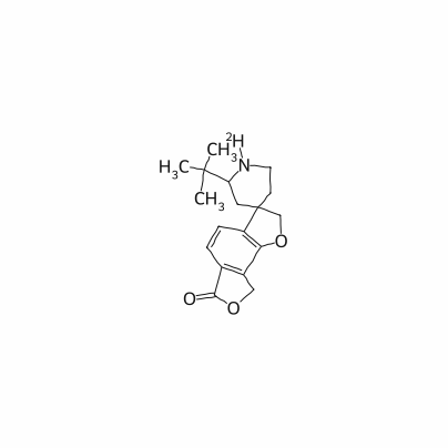 [2H]N1CCC2(COc3c2ccc2c3COC2=O)CC1C(C)(C)C